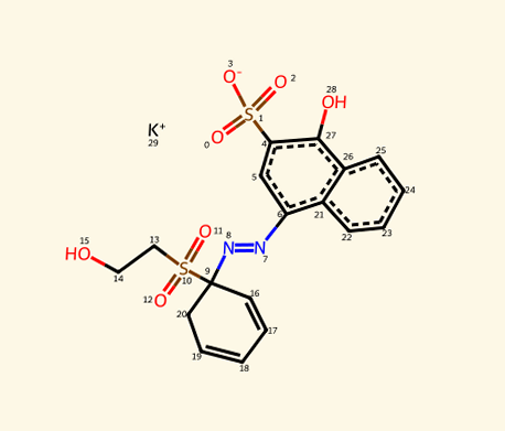 O=S(=O)([O-])c1cc(N=NC2(S(=O)(=O)CCO)C=CC=CC2)c2ccccc2c1O.[K+]